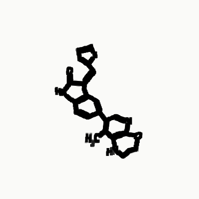 Cc1c(-c2ccc3c(c2)/C(=C/c2cccs2)C(=O)N3)cnc2c1NCCO2